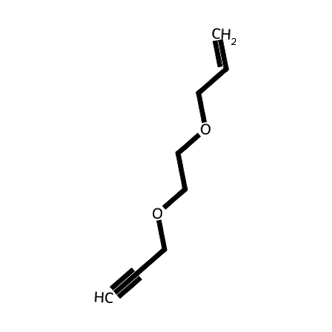 C#CCOCCOCC=C